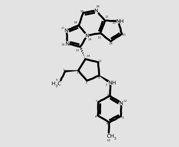 CC[C@@H]1C[C@H](Nc2ccc(C)cn2)C[C@H]1c1nnc2cnc3[nH]ccc3n12